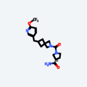 NC(=O)[C@H]1CCN(C(=O)N2CC3(CC(Cc4ccc(OC(F)(F)F)nc4)C3)C2)C1